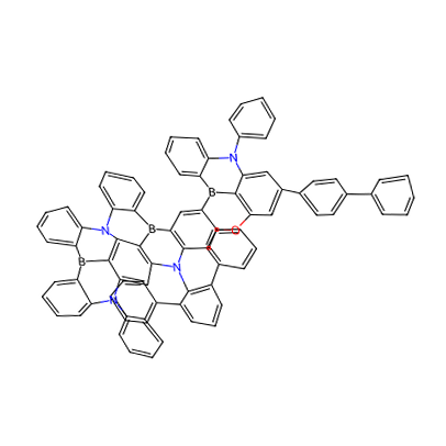 c1ccc(-c2ccc(-c3cc4c5c(c3)N(c3ccccc3)c3ccccc3B5c3cc5c(cc3O4)N(c3c(-c4ccccc4)cccc3-c3ccccc3)c3cc4c6c7c3B5c3ccccc3N7c3ccccc3B6c3ccccc3N4c3ccccc3)cc2)cc1